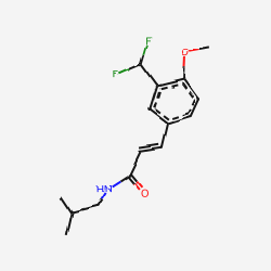 COc1ccc(C=CC(=O)NCC(C)C)cc1C(F)F